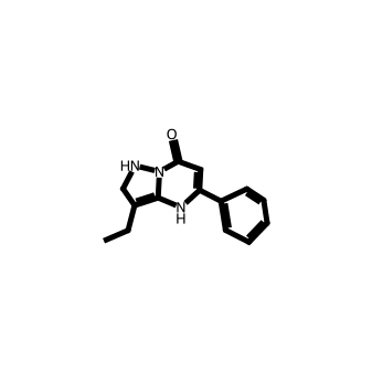 CCC1=C2NC(c3ccccc3)=CC(=O)N2NC1